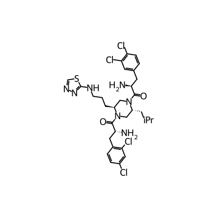 CC(C)C[C@@H]1CN(C(=O)[C@H](N)Cc2ccc(Cl)cc2Cl)[C@@H](CCCNc2nncs2)CN1C(=O)[C@@H](N)Cc1ccc(Cl)c(Cl)c1